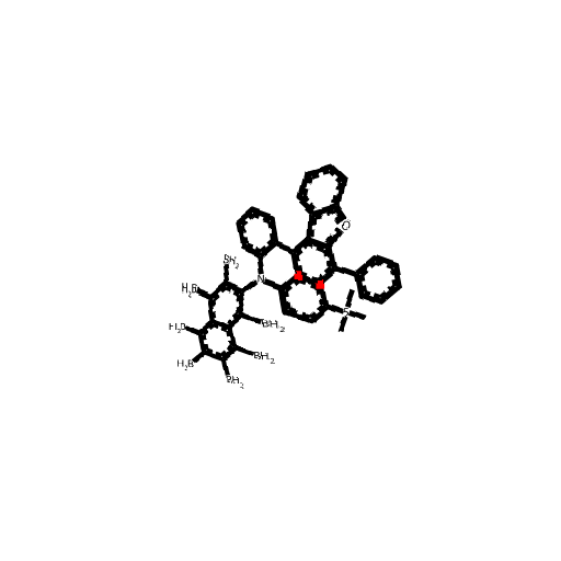 Bc1c(B)c(B)c2c(B)c(N(c3ccc(S(C)(C)C)cc3)c3ccccc3-c3ccc(-c4ccccc4)c4oc5ccccc5c34)c(B)c(B)c2c1B